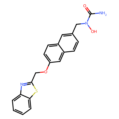 NC(=O)N(O)Cc1ccc2cc(OCc3nc4ccccc4s3)ccc2c1